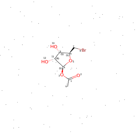 CC(=O)O[C@@H]1O[C@H](CBr)[C@@H](O)[C@H]1O